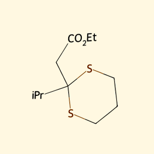 CCOC(=O)CC1(C(C)C)SCCCS1